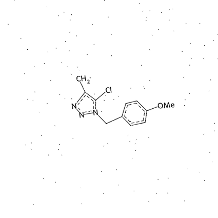 [CH2]c1nnn(Cc2ccc(OC)cc2)c1Cl